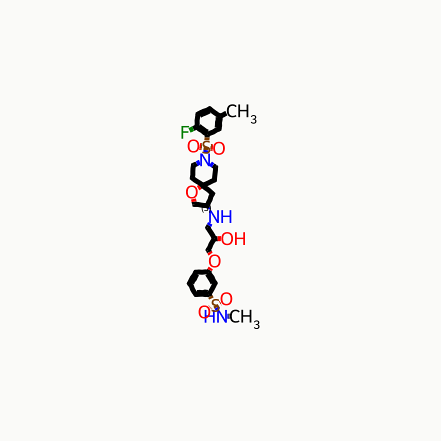 CNS(=O)(=O)c1cccc(OCC(O)CN[C@@H]2COC3(CCN(S(=O)(=O)c4cc(C)ccc4F)CC3)C2)c1